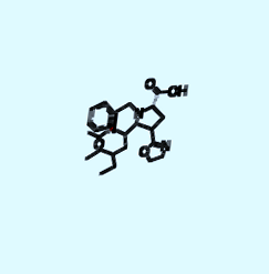 CCC(CC)CC(NC(C)=O)C1C(C2=NCCO2)C[C@@H](C(=O)O)N1Cc1ccccc1